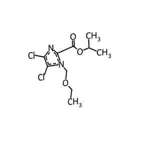 CCOCn1c(C(=O)OC(C)C)nc(Cl)c1Cl